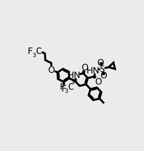 Cc1ccc(C2=C(C(=O)NS(=O)(=O)C3CC3)C(=O)N[C@@](c3ccc(OCCCC(F)(F)F)cc3F)(C(F)(F)F)C2)cc1